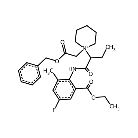 CCOC(=O)c1cc(F)cc(C)c1NC(=O)C(CC)[N+]1(CC(=O)OCc2ccccc2)CCCCC1